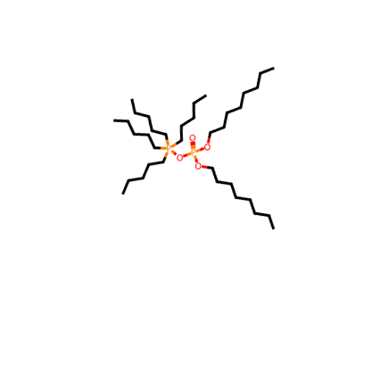 CCCCCCCCOP(=O)(OCCCCCCCC)OP(CCCCC)(CCCCC)(CCCCC)CCCCC